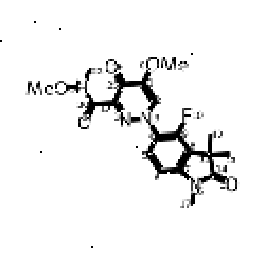 COc1cn(-c2ccc3c(c2F)C(C)(C)C(=O)N3C)nc(C(=O)N(C)OC)c1=O